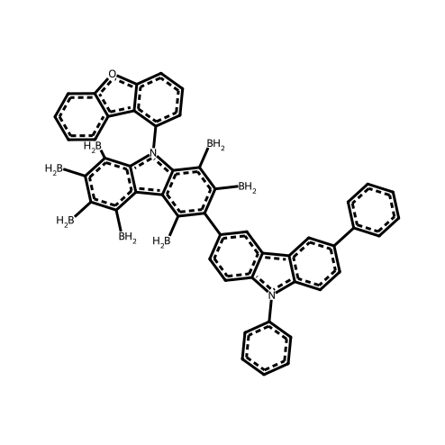 Bc1c(B)c(B)c2c(c1B)c1c(B)c(-c3ccc4c(c3)c3cc(-c5ccccc5)ccc3n4-c3ccccc3)c(B)c(B)c1n2-c1cccc2oc3ccccc3c12